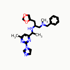 Cc1cc(C(C)NC(CC2=COCO2)CN(C)Cc2ccccc2)nc(-n2ccnc2)n1